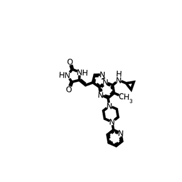 Cc1c(N2CCN(c3ccccn3)CC2)nc2c(/C=C3\NC(=O)NC3=O)cnn2c1NC1CC1